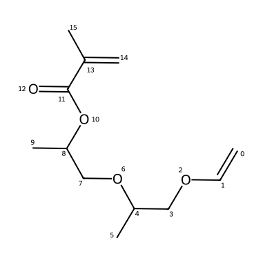 C=COCC(C)OCC(C)OC(=O)C(=C)C